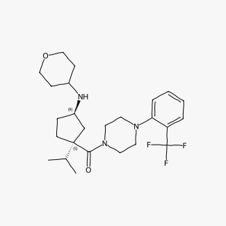 CC(C)[C@]1(C(=O)N2CCN(c3ccccc3C(F)(F)F)CC2)CC[C@@H](NC2CCOCC2)C1